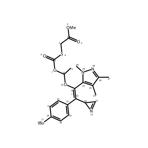 COC(=O)CSC(=O)OC(C)O/C(=C(\c1ccc(C(C)(C)C)cc1)C1C=N1)c1c(C)c(C)nn1C